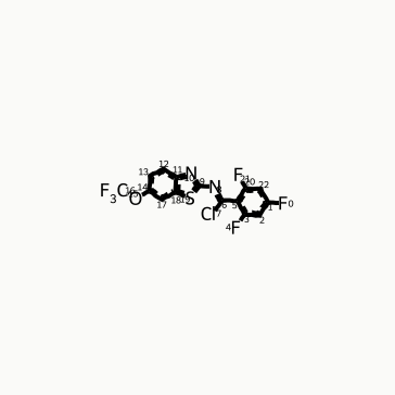 Fc1cc(F)c(C(Cl)=Nc2nc3ccc(OC(F)(F)F)cc3s2)c(F)c1